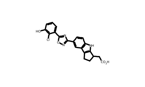 O=C(O)CC1CCc2c1[nH]c1ccc(-c3noc(-c4cccc(O)c4Cl)n3)cc21